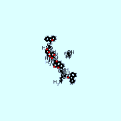 C[C@]1(C(=O)NC(=O)[C@@]2(C)CCC[C@]3(C)c4cc(NC(=O)[C@H](CCCCN)NC(=O)OCC5c6ccccc6-c6ccccc65)ccc4CC[C@@H]23)CCC[C@]2(C)c3cc(NC(=O)OCC4c5ccccc5-c5ccccc54)ccc3CC[C@@H]12.O=C(O)C(F)(F)F